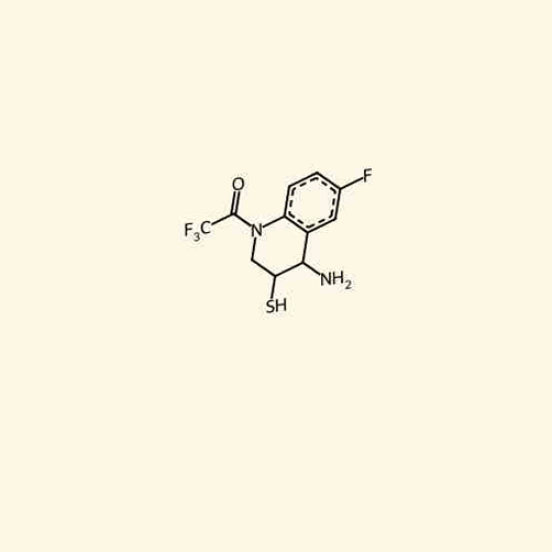 NC1c2cc(F)ccc2N(C(=O)C(F)(F)F)CC1S